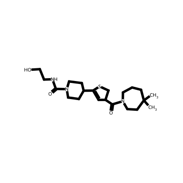 CC1(C)CCCN(C(=O)C2C=C(C3CCN(C(=O)NCCO)CC3)SC2)CC1